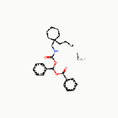 CC(=O)O.N#CCCC1(CNC(=O)OC(OC(=O)c2ccccc2)c2ccccc2)CCCCC1